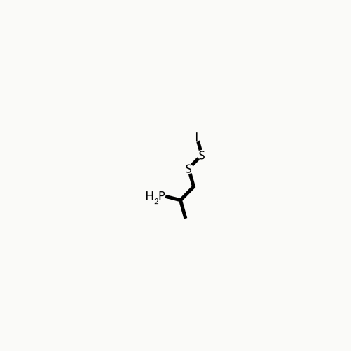 CC(P)CSSI